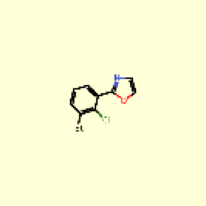 CCc1cccc(-c2ncco2)c1Cl